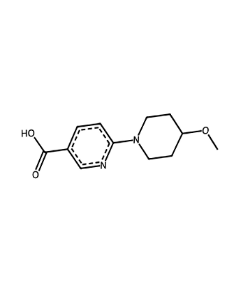 COC1CCN(c2ccc(C(=O)O)cn2)CC1